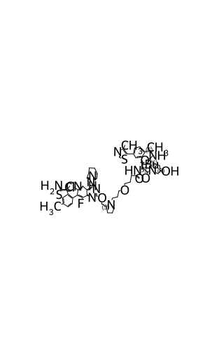 Cc1ncsc1-c1ccc([C@H](C)NC(=O)[C@@H]2C[C@@H](O)CN2C(=O)[C@@H](NC(=O)CCCOCCCN2CCC[C@H]2COc2nc(N3CC4CCC(C3)N4)c3cc(Cl)c(-c4ccc(C)c5sc(N)c(C#N)c45)c(F)c3n2)C(C)(C)C)cc1